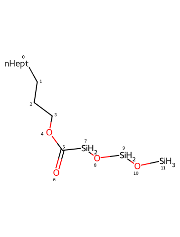 CCCCCCCCCCOC(=O)[SiH2]O[SiH2]O[SiH3]